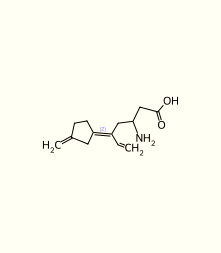 C=C/C(CC(N)CC(=O)O)=C1/CCC(=C)C1